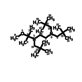 COC(C)(C)N(CCN(CC(C)(C)C)CC(C)(C)C)CC(C)(C)C